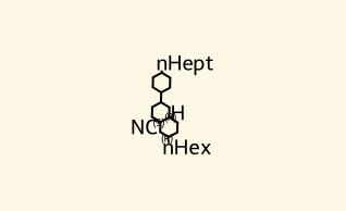 CCCCCCCC1CCC(C2CC[C@]3(C#N)C[C@H](CCCCCC)CC[C@@H]3C2)CC1